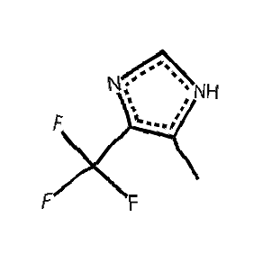 Cc1[nH]cnc1C(F)(F)F